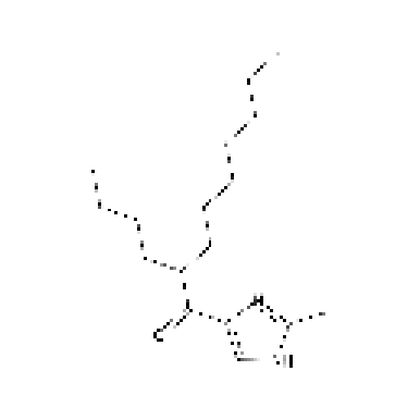 CCCCCCCC(CCCC)C(=O)c1c[nH]c(C)n1